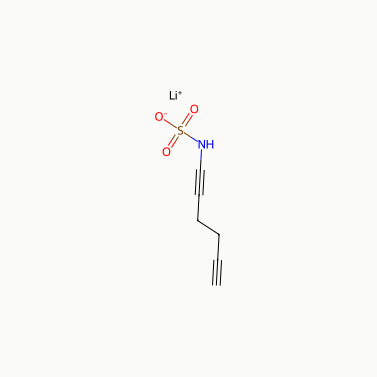 C#CCCC#CNS(=O)(=O)[O-].[Li+]